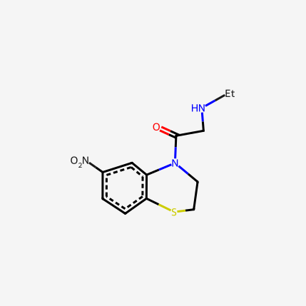 CCNCC(=O)N1CCSc2ccc([N+](=O)[O-])cc21